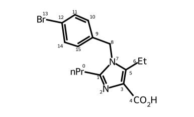 CCCc1nc(C(=O)O)c(CC)n1Cc1ccc(Br)cc1